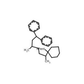 CCCCCC1(C(C)CCC(C)CC(c2ccccc2)c2ccccc2)CCCCC1